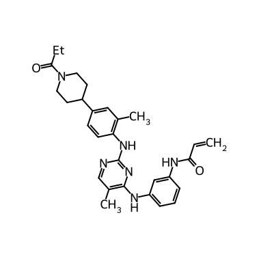 C=CC(=O)Nc1cccc(Nc2nc(Nc3ccc(C4CCN(C(=O)CC)CC4)cc3C)ncc2C)c1